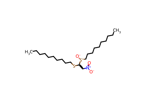 CCCCCCCCCCSC(=C[N+](=O)[O-])[S+]([O-])CCCCCCCCCC